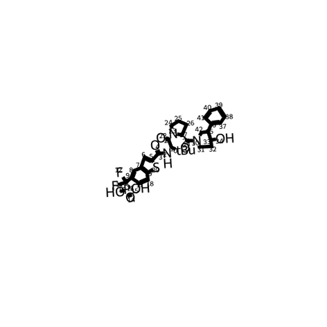 CC(C)(C)C(NC(=O)c1cc2cc(C(F)(F)P(=O)(O)O)ccc2s1)C(=O)N1CCC[C@H]1C(=O)N1CCC(O)C(c2ccccc2)C1